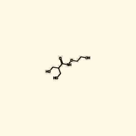 O=C(NOCCO)C(CO)CO